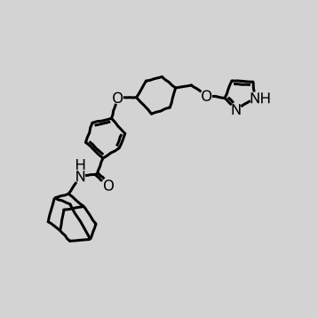 O=C(NC1C2CC3CC(C2)CC1C3)c1ccc(OC2CCC(COc3cc[nH]n3)CC2)cc1